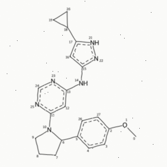 COc1ccc(C2CCCN2c2cc(Nc3cc(C4CC4)[nH]n3)ncn2)cc1